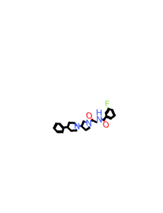 O=C(NCC(=O)N1CCC(N2CCC(c3ccccc3)CC2)C1)c1cccc(F)c1